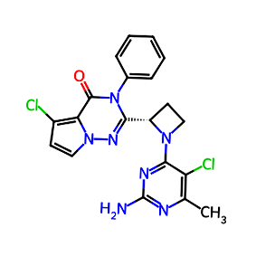 Cc1nc(N)nc(N2CC[C@H]2c2nn3ccc(Cl)c3c(=O)n2-c2ccccc2)c1Cl